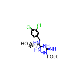 CCCCCCCCNC(=N)NC(=N)NCc1ccc(Cl)c(Cl)c1.CS(=O)(=O)O.CS(=O)(=O)O